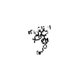 Cc1ncc(-c2ccc(OCCBr)cn2)c(N2CCC(C)(C)CC2)c1[C@H](OC(C)(C)C)C(=O)O